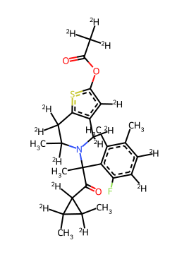 [2H]c1c([2H])c(F)c(C(C)(C(=O)C2([2H])C([2H])(C)C2([2H])C)N2C([2H])([2H])c3c(sc(OC(=O)C([2H])([2H])[2H])c3[2H])C([2H])([2H])C2([2H])C)c(C)c1C